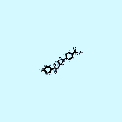 COC(=O)c1ccc(-c2nc(CS(=O)(=O)c3ccc(C)cc3)cs2)cc1